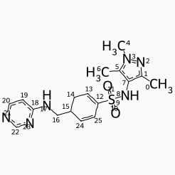 Cc1nn(C)c(C)c1NS(=O)(=O)C1=CCC(CNc2ccncn2)C=C1